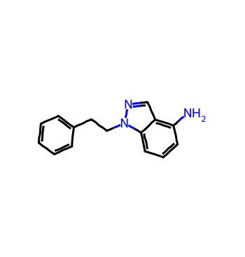 Nc1cccc2c1cnn2CCc1ccccc1